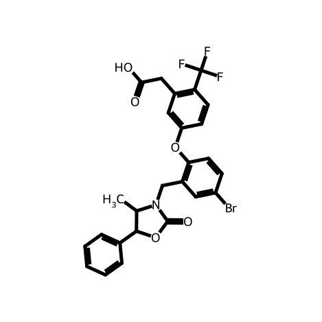 CC1C(c2ccccc2)OC(=O)N1Cc1cc(Br)ccc1Oc1ccc(C(F)(F)F)c(CC(=O)O)c1